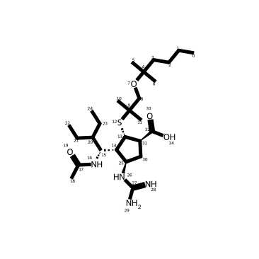 CCCCC(C)(C)OCC(C)(C)S[C@H]1[C@@H]([C@H](NC(C)=O)C(CC)CC)[C@H](NC(=N)N)C[C@@H]1C(=O)O